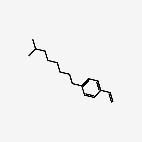 C=Cc1ccc(CCCCCCC(C)C)cc1